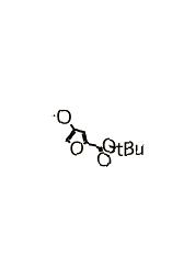 CC(C)(C)OC(=O)c1cc([O])co1